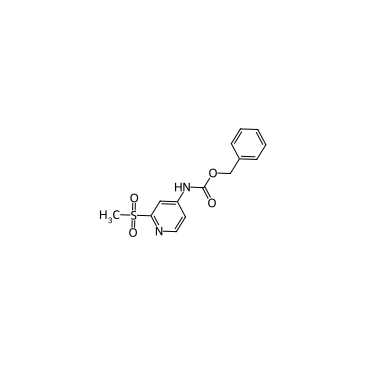 CS(=O)(=O)c1cc(NC(=O)OCc2ccccc2)ccn1